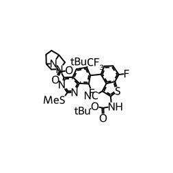 CSc1nc(N2CC3CCC(C2)N3C(=O)OC(C)(C)C)c2cc(C(F)(F)F)c(-c3ccc(F)c4sc(NC(=O)OC(C)(C)C)c(C#N)c34)c(F)c2n1